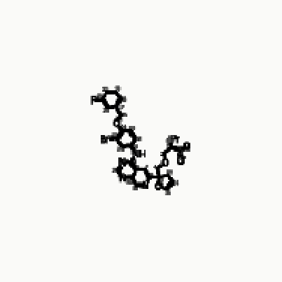 CC(C)C(COCC1(c2cc3c(Nc4ccc(OCc5cccc(F)c5)c(Br)c4)ncnc3cn2)CC=CO1)=S(=O)=O